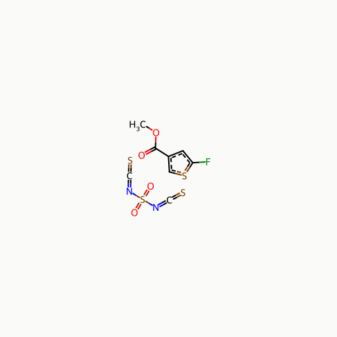 COC(=O)c1csc(F)c1.O=S(=O)(N=C=S)N=C=S